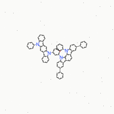 c1ccc(-c2ccc3c(c2)c2ccc4c5cc(-c6ccccc6)ccc5n(-c5cccc(-n6c7ccccc7c7cc8c(cc76)c6ccccc6n8-c6ccccc6)c5)c4c2n3-c2ccccc2)cc1